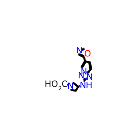 O=C(O)N1CCC(Nc2nc3ccc(-c4cnco4)cn3n2)C1